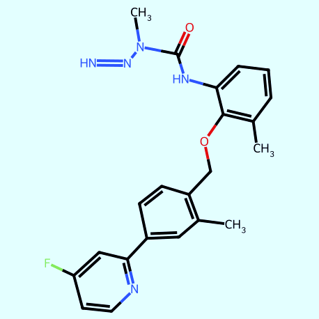 Cc1cc(-c2cc(F)ccn2)ccc1COc1c(C)cccc1NC(=O)N(C)N=N